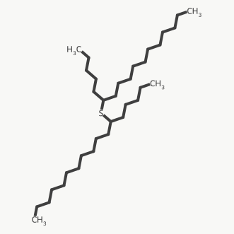 CCCCCCCCCCCC(CCCCC)SC(CCCCC)CCCCCCCCCCC